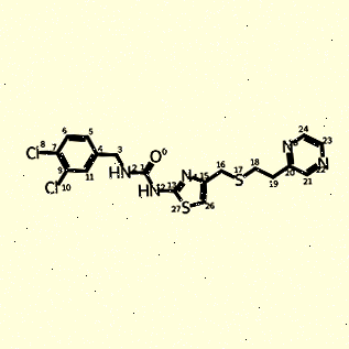 O=C(NCc1ccc(Cl)c(Cl)c1)Nc1nc(CSCCc2cnccn2)cs1